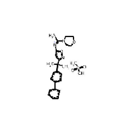 CC(C)(c1ccc(-c2ccccc2)cc1)c1cc(/N=C(/N)N2CCOCC2)on1.CS(=O)(=O)O